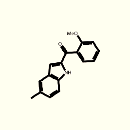 COc1ccccc1C(=O)c1cc2cc(C)ccc2[nH]1